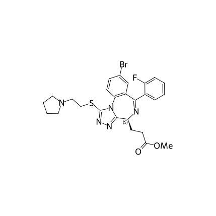 COC(=O)CC[C@@H]1N=C(c2ccccc2F)c2cc(Br)ccc2-n2c(SCCN3CCCC3)nnc21